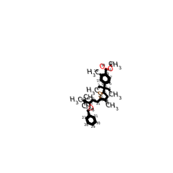 CCC(CC)(c1ccc(C(=O)OC)c(C)c1)C1CC(C)=C(CCC(OCc2ccccc2)C(C)(C)C)S1